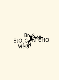 CCOC(=O)C(=NOC)c1nc(NC=O)sc1Br